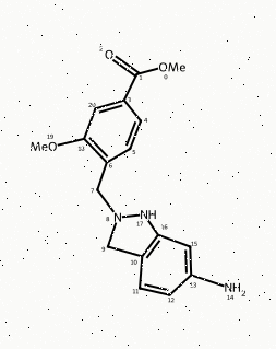 COC(=O)c1ccc(CN2Cc3ccc(N)cc3N2)c(OC)c1